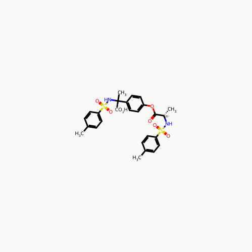 Cc1ccc(S(=O)(=O)N[C@@H](C)C(=O)Oc2ccc(C(C)(NS(=O)(=O)c3ccc(C)cc3)C(=O)O)cc2)cc1